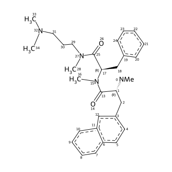 CN[C@H](Cc1ccc2ccccc2c1)C(=O)N(C)[C@H](Cc1ccccc1)C(=O)N(C)CCCN(C)C